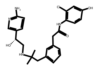 CC(C)(Cc1cccc(CC(=O)Nc2ccc(O)cc2Cl)c1)NC[C@H](O)c1ccc(N)nc1